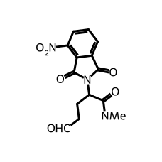 CNC(=O)C(CCC=O)N1C(=O)c2cccc([N+](=O)[O-])c2C1=O